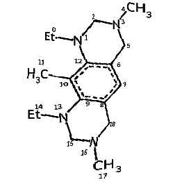 CCN1CN(C)Cc2cc3c(c(C)c21)N(CC)CN(C)C3